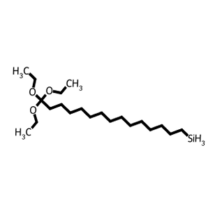 CCOC(CCCCCCCCCCCCCC[SiH3])(OCC)OCC